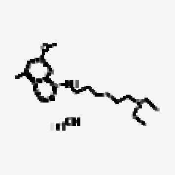 CCN(CC)CCCCCCNc1cccc2c(C)cc(OC)nc12.Cl.Cl